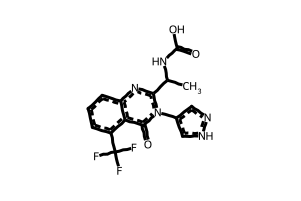 CC(NC(=O)O)c1nc2cccc(C(F)(F)F)c2c(=O)n1-c1cn[nH]c1